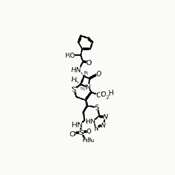 CCCCS(=O)(=O)NCCC(Sc1nnn[nH]1)C1=C(C(=O)O)N2C(=O)[C@@H](NC(=O)C(O)c3ccccc3)[C@@H]2SC1